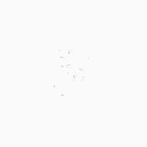 CC(O)c1ccc2c(c1)N(S(=O)(=O)c1ccc(C(C)(C)C)cc1)Cc1ccc(C(F)(F)F)nc1N2